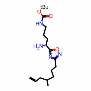 C=CCC(C)CCCc1noc([C@@H](N)CCCNC(=O)OC(C)(C)C)n1